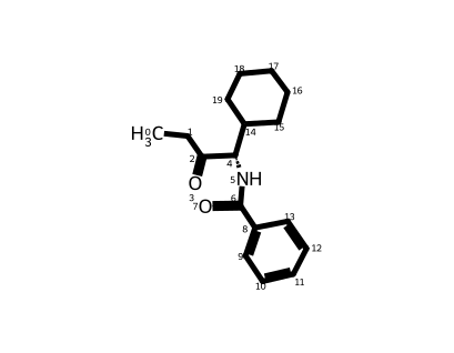 CCC(=O)[C@@H](NC(=O)c1ccccc1)C1CCCCC1